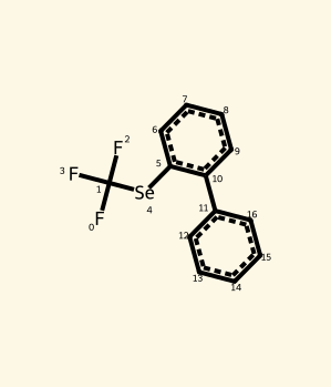 FC(F)(F)[Se]c1ccccc1-c1ccccc1